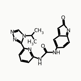 CC(C)n1cnnc1-c1cccc(NC(=O)Nc2ccc3c(c2)=CC(=O)N=3)n1